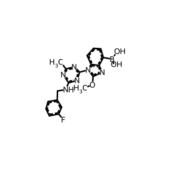 COc1nc2c(B(O)O)cccc2n1-c1nc(C)nc(NCc2cccc(F)c2)n1